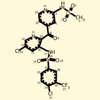 CS(=O)(=O)Nc1cc(C(=O)c2ncc(Cl)cc2NS(=O)(=O)c2ccc(Cl)c(C(F)(F)F)c2)ccn1